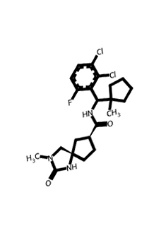 CN1C[C@@]2(CC[C@H](C(=O)NC(c3c(F)ccc(Cl)c3Cl)C3(C)CCCC3)C2)NC1=O